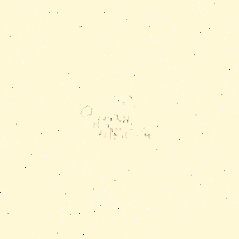 CCCCCCC[C@H](NC(=O)c1ccccc1)C(=O)N[C@@H](CCCCN)C(=O)N[C@H](C)CC(N)=O